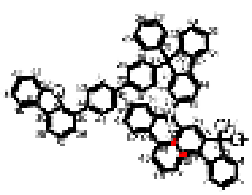 CC1(C)c2ccccc2-c2ccc(N(c3ccc4c(c3)C(c3ccccc3)(c3ccc(-c5ccc(-c6cccc7c6oc6ccccc67)cc5)cc3)c3ccccc3-4)c3ccccc3-c3ccccc3)cc21